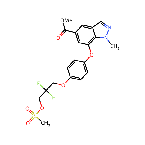 COC(=O)c1cc(Oc2ccc(OCC(F)(F)COS(C)(=O)=O)cc2)c2c(cnn2C)c1